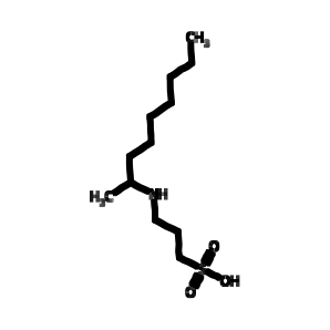 CCCCCCCC(C)NCCCS(=O)(=O)O